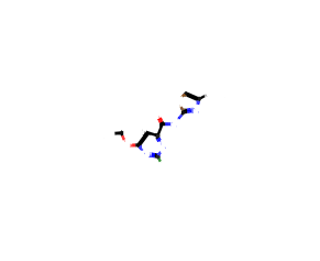 Cc1csc(NC(=O)c2cc(OC(C)C)nc(Cl)n2)n1